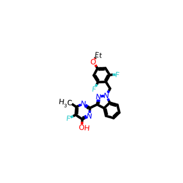 CCOc1cc(F)c(Cn2nc(-c3nc(C)c(F)c(O)n3)c3ccccc32)c(F)c1